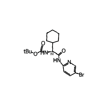 CC(C)(C)OC(=O)N[C@H](C(=O)Nc1ccc(Br)cn1)C1CCCCC1